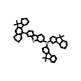 CC1(C)c2ccccc2-c2cc(N(c3ccc4c(c3)-c3ccccc3C4(C)C)c3ccc4c(c3)sc3cc(-c5c6c(cc7ccccc57)C(C)(C)c5ccccc5-6)ccc34)ccc21